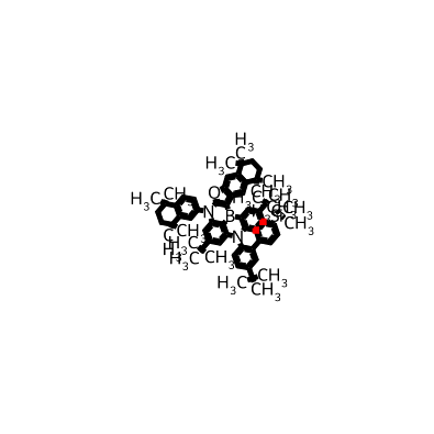 CC(C)(C)c1ccc2c(c1)B1c3c(cc(C(C)(C)C)cc3N(c3ccc4c(c3)C(C)(C)CCC4(C)C)c3oc4cc5c(cc4c31)C(C)(C)CCC5(C)C)N2c1ccc(C(C)(C)C)cc1-c1ccc([Si](C)(C)C)cc1